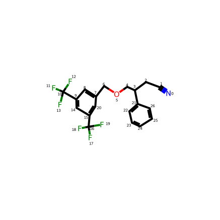 N#CCC(COCc1cc(C(F)(F)F)cc(C(F)(F)F)c1)c1ccccc1